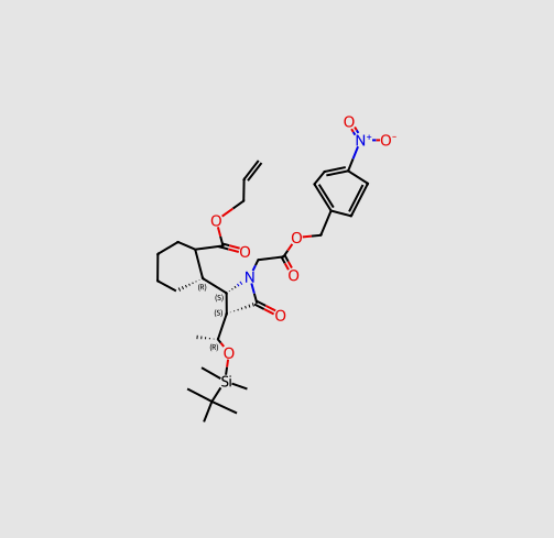 C=CCOC(=O)C1CCCC[C@H]1[C@H]1[C@@H]([C@@H](C)O[Si](C)(C)C(C)(C)C)C(=O)N1CC(=O)OCc1ccc([N+](=O)[O-])cc1